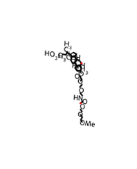 COCCOCCOCC(=O)NCCOCCOCC(=O)O[C@H]1CC[C@@]2(C)[C@H](CC[C@@H]3[C@@H]2CC[C@]2(C)[C@@H]([C@H](C)CCC(=O)O)CC[C@@H]32)C1